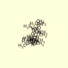 CCCCOc1noc2c1C(=O)[C@@]1(O[Si](C)(C)C(C)(C)C)C(O)=C3C(=O)c4c(c(N(C)C)nc(NC(=O)CNC(C)(C)C)c4OCCCC)C[C@H]3C[C@H]1[C@@H]2N(C)C